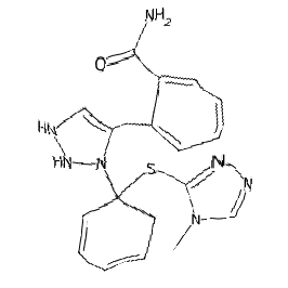 Cn1cnnc1SC1(N2NNC=C2c2ccccc2C(N)=O)C=CC=CC1